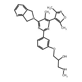 CNCC(O)COc1cccc(-c2nc(-c3c(C)noc3C)c(C)c(N3Cc4cccnc4C3)n2)c1